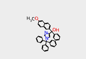 COc1ccc2cc(C(O)(c3ccccc3)c3cn(C(c4ccccc4)(c4ccccc4)c4ccccc4)cn3)ccc2c1